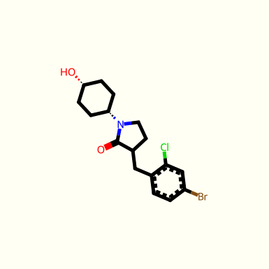 O=C1C(Cc2ccc(Br)cc2Cl)CCN1[C@H]1CC[C@@H](O)CC1